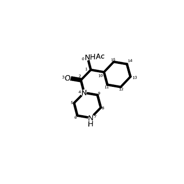 CC(=O)NC(C(=O)N1CCNCC1)C1CCCCC1